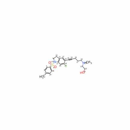 Cc1ccc(S(=O)(=O)N2CCc3cc(C#CCCCN(C)CCO)c(F)cc32)cc1